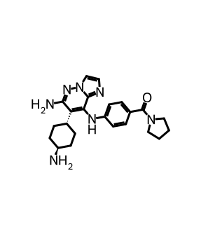 Nc1nn2ccnc2c(Nc2ccc(C(=O)N3CCCC3)cc2)c1[C@H]1CC[C@H](N)CC1